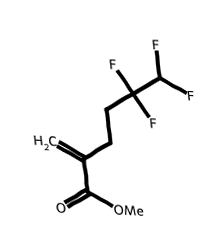 C=C(CCC(F)(F)C(F)F)C(=O)OC